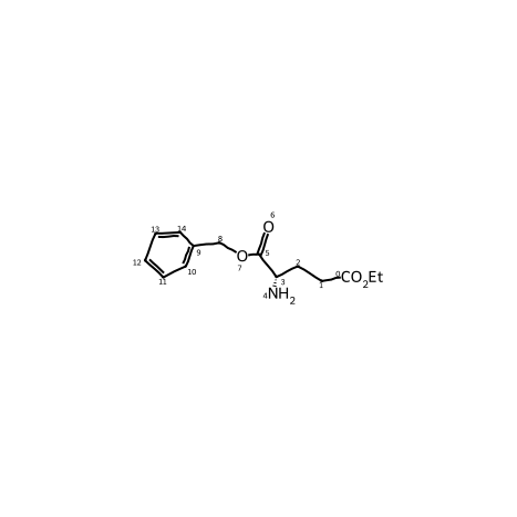 CCOC(=O)CC[C@H](N)C(=O)OCc1ccccc1